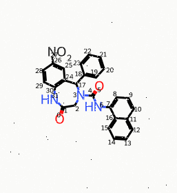 O=C1CN(C(=O)Nc2cccc3ccccc23)C(c2ccccc2)c2cc([N+](=O)[O-])ccc2N1